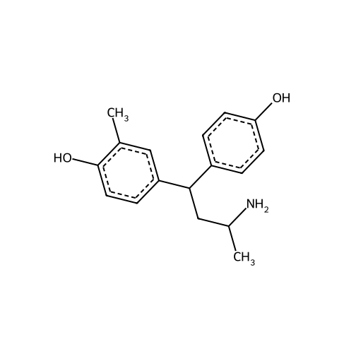 Cc1cc(C(CC(C)N)c2ccc(O)cc2)ccc1O